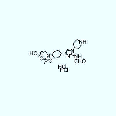 CS(=O)(=O)N(CC(=O)O)[C@H]1CC[C@H](c2cn(C3CCNCC3)c(NC=O)n2)CC1.Cl.Cl